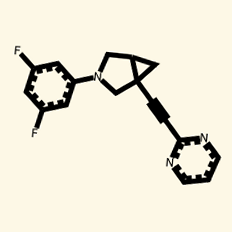 Fc1cc(F)cc(N2CC3CC3(C#Cc3ncccn3)C2)c1